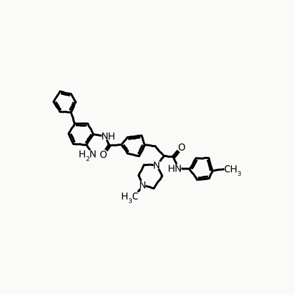 Cc1ccc(NC(=O)C(Cc2ccc(C(=O)Nc3cc(-c4ccccc4)ccc3N)cc2)N2CCN(C)CC2)cc1